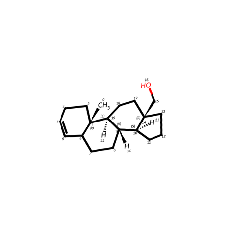 C[C@]12CCC=CC1CC[C@H]1[C@@H]3CCC[C@@]3(CO)CC[C@@H]12